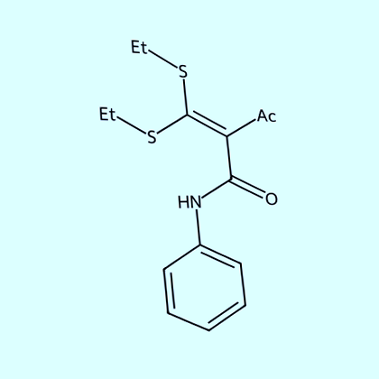 CCSC(SCC)=C(C(C)=O)C(=O)Nc1ccccc1